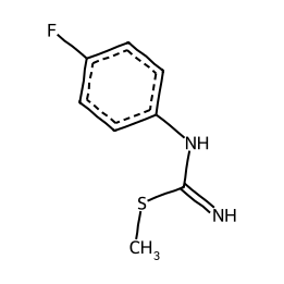 CSC(=N)Nc1ccc(F)cc1